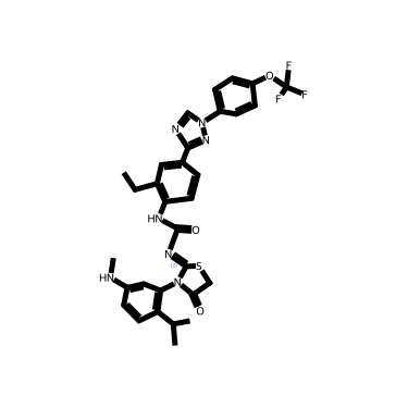 CCc1cc(-c2ncn(-c3ccc(OC(F)(F)F)cc3)n2)ccc1NC(=O)/N=C1\SCC(=O)N1c1cc(NC)ccc1C(C)C